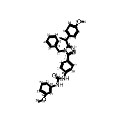 COc1ccc(C(C)c2nnc(-c3ccc(NC(=O)Nc4cccc(OC)c4)cc3)n2Cc2ccccc2)cc1